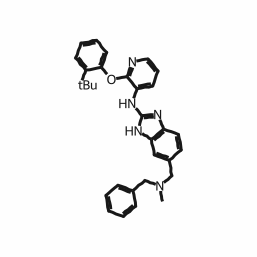 CN(Cc1ccccc1)Cc1ccc2nc(Nc3cccnc3Oc3ccccc3C(C)(C)C)[nH]c2c1